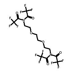 O=C(N(CCOCCOCCN(C(=O)C(F)(F)F)C(=O)C(F)(F)F)C(=O)C(F)(F)F)C(F)(F)F